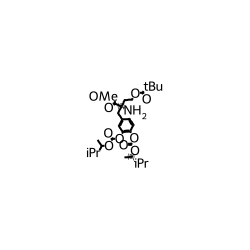 COC(=O)[C@@](N)(CCOC(=O)C(C)(C)C)Cc1ccc(OC(=O)O[C@@H](C)C(C)C)c(OC(=O)OC(C)C(C)C)c1